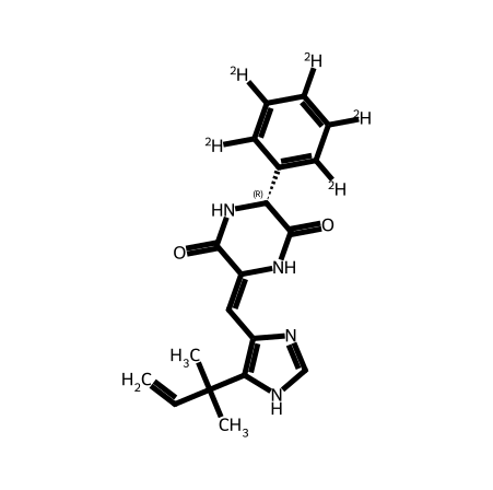 [2H]c1c([2H])c([2H])c([C@H]2NC(=O)C(=Cc3nc[nH]c3C(C)(C)C=C)NC2=O)c([2H])c1[2H]